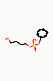 O=P(O)(OCCCCO)Oc1ccccc1